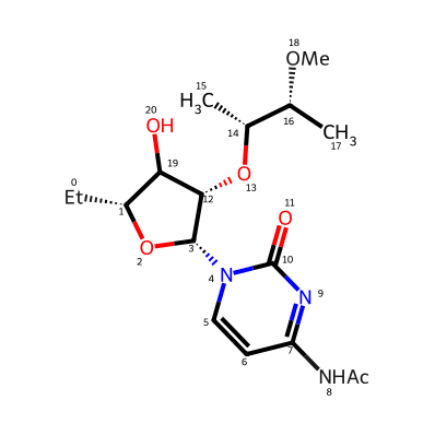 CC[C@H]1O[C@@H](n2ccc(NC(C)=O)nc2=O)[C@@H](O[C@H](C)[C@@H](C)OC)C1O